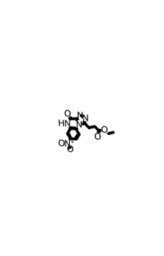 CCOC(=O)CCc1nnc2c(=O)[nH]c3cc([N+](=O)[O-])ccc3n12